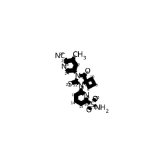 Cc1cc(N2C(=O)C3(CCC3)N(c3cccc(S(N)(=O)=O)n3)C2=S)cnc1C#N